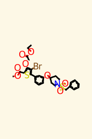 CCOC(=O)COc1c(C(=O)OC)sc(-c2cccc(OC3CCN(S(=O)(=O)Cc4ccccc4)CC3)c2)c1Br